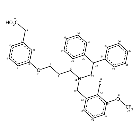 O=C(O)Cc1cccc(OCCCN(Cc2cccc(OC(F)(F)F)c2Cl)CC(c2ccccc2)c2ccccc2)c1